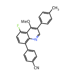 COc1c(-c2ccc(C)cc2)cnc2c(-c3ccc(C#N)cc3)ccc(F)c12